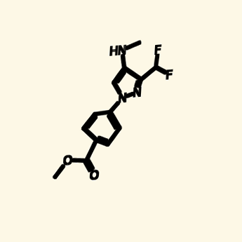 CNc1cn(-c2ccc(C(=O)OC)cc2)nc1C(F)F